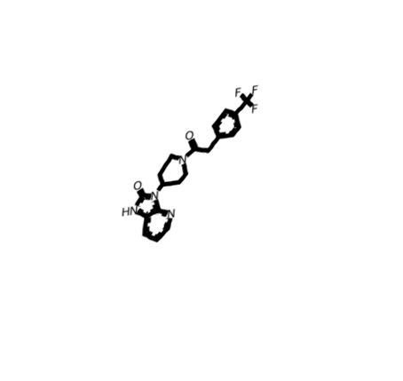 O=C(Cc1ccc(C(F)(F)F)cc1)N1CCC(n2c(=O)[nH]c3cccnc32)CC1